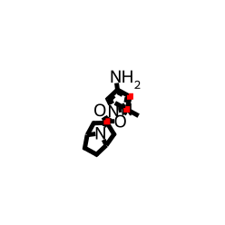 CC(C)(C)OC(=O)N1C2CCC1CC(n1cc(N)cn1)C2